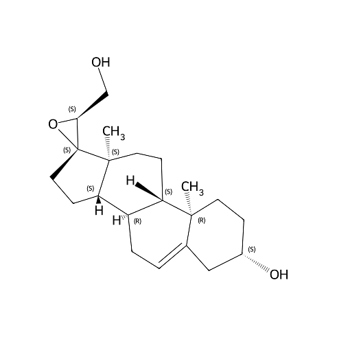 C[C@]12CC[C@H](O)CC1=CC[C@@H]1[C@@H]2CC[C@@]2(C)[C@H]1CC[C@]21O[C@H]1CO